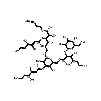 [N-]=[N+]=NCCO[C@H](O)C(O)C(O[C@@H](O)/C=C(\O)[C@H](O)CCO)[C@H](O)CCO[C@H]1OC(CO[C@@H](O)C(O[C@H]2OC(CO)[C@@H](O)C(O)C2O)C(O)[C@H](O)CCO)[C@@H](O)C(O[C@@H](O)/C=C(\O)[C@H](O)CCO)C1O